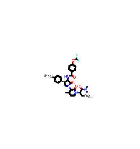 COCC(C(=O)N(C)C)n1ccc(C)c(N2C[C@@H](c3ccc(OC)cc3)C(NC(=O)c3ccc(OC(F)F)cc3)C2=O)c1=O